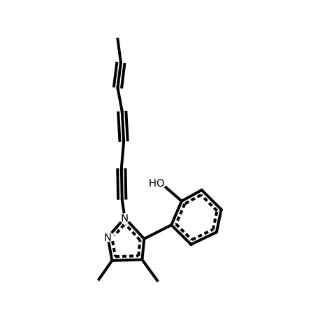 CC#CC#CC#Cn1nc(C)c(C)c1-c1ccccc1O